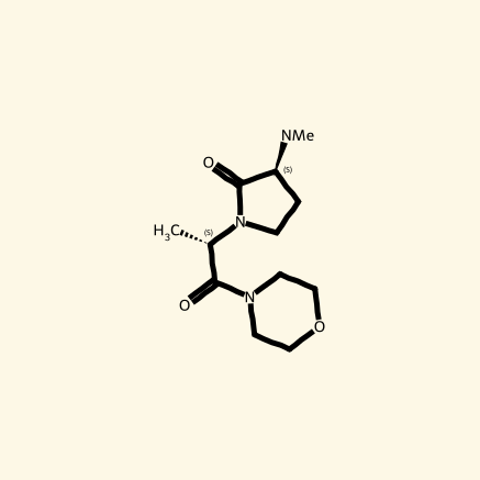 CN[C@H]1CCN([C@@H](C)C(=O)N2CCOCC2)C1=O